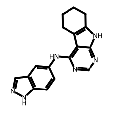 c1nc(Nc2ccc3[nH]ncc3c2)c2c3c([nH]c2n1)CCCC3